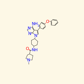 CN1CCC(C(=O)NC2CCC(n3cc(-c4ccc(Oc5ccccc5)cc4)c4c(N)ncnc43)CC2)CC1